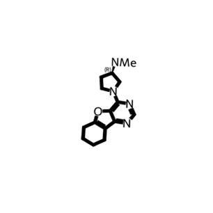 CN[C@@H]1CCN(c2ncnc3c4c(oc23)CCCC4)C1